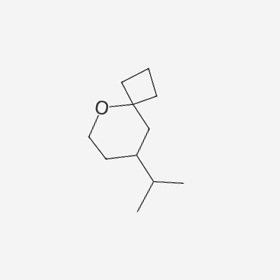 CC(C)C1CCOC2(CCC2)C1